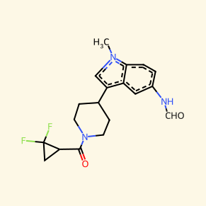 Cn1cc(C2CCN(C(=O)C3CC3(F)F)CC2)c2cc(NC=O)ccc21